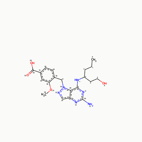 CCCC(CCO)Nc1nc(N)nc2cnn(Cc3ccc(C(=O)O)cc3OC)c12